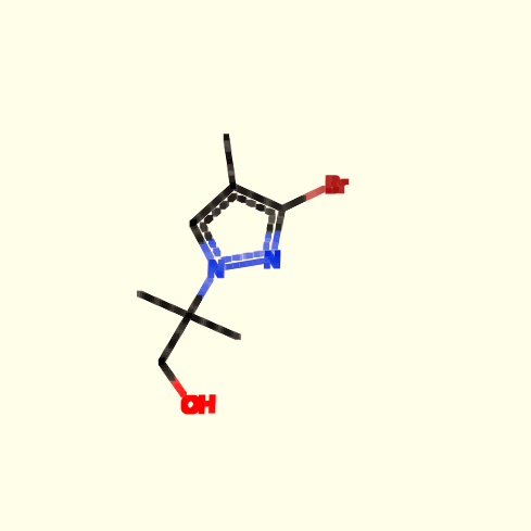 Cc1cn(C(C)(C)CO)nc1Br